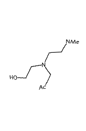 CNCCN(CCO)CC(C)=O